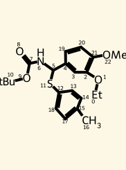 CCOc1cc(C(NC(=O)OC(C)(C)C)Sc2ccc(C)cc2)ccc1OC